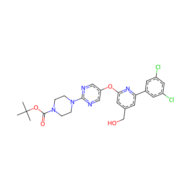 CC(C)(C)OC(=O)N1CCN(c2ncc(Oc3cc(CO)cc(-c4cc(Cl)cc(Cl)c4)n3)cn2)CC1